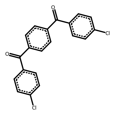 O=C(c1ccc(Cl)cc1)c1ccc(C(=O)c2ccc(Cl)cc2)cc1